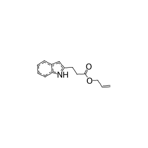 C=CCOC(=O)CCc1cc2ccccc2[nH]1